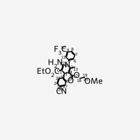 CCOC(=O)C1=C(N)N(c2cccc(C(F)(F)F)c2)C(C)=C(C(=O)OCCOC)C1c1ccc(C#N)cc1